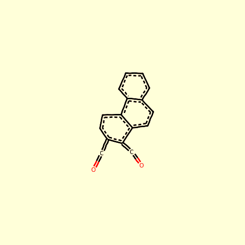 O=C=c1ccc2c(ccc3ccccc32)c1=C=O